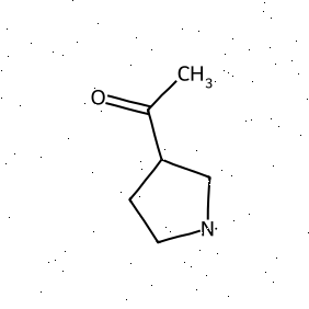 CC(=O)C1CC[N]C1